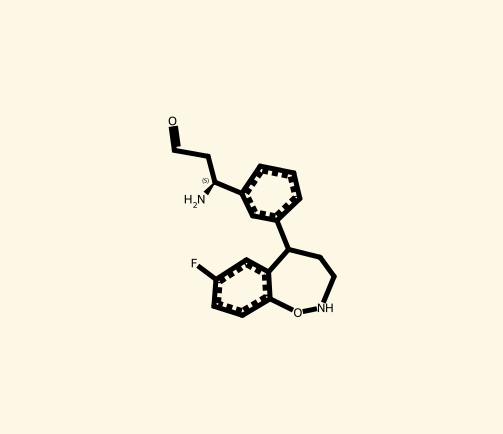 N[C@@H](CC=O)c1cccc(C2CCNOc3ccc(F)cc32)c1